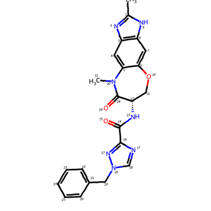 Cc1nc2cc3c(cc2[nH]1)OC[C@H](NC(=O)c1ncn(Cc2ccccc2)n1)C(=O)N3C